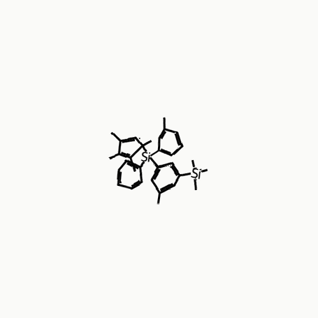 CC1=[C]C(C)([Si](c2ccccc2)(c2cccc(C)c2)c2cc(C)cc([Si](C)(C)C)c2)C(C)=C1C